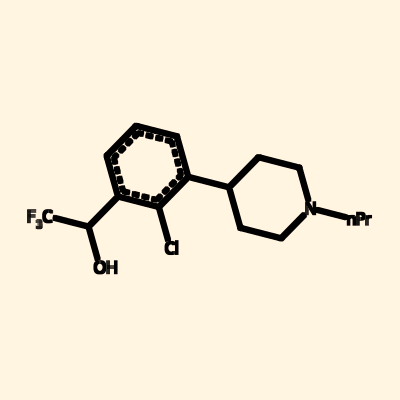 CCCN1CCC(c2cccc(C(O)C(F)(F)F)c2Cl)CC1